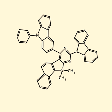 C[Si]1(C)c2nc(-n3c4ccccc4c4ccccc43)nc(-c3ccc4c(c3)c3ccccc3n4-c3ccccc3)c2-c2ccc3ccccc3c21